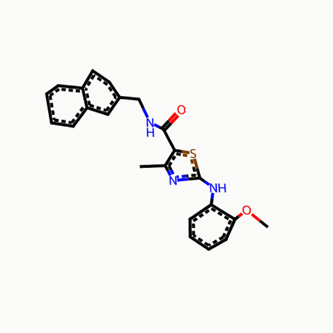 COc1ccccc1Nc1nc(C)c(C(=O)NCc2ccc3ccccc3c2)s1